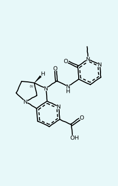 Cn1nccc(NC(=O)N2c3nc(C(=O)O)ccc3N3CC[C@H]2C3)c1=O